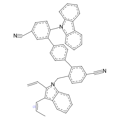 C=Cc1c(/C=C\C)c2ccccc2n1Cc1ccc(C#N)cc1-c1ccc(-c2cc(C#N)ccc2-n2c3ccccc3c3ccccc32)cc1